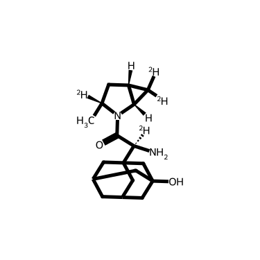 [2H]C1([2H])[C@H]2C[C@@]([2H])(C)N(C(=O)[C@@]([2H])(N)C34CC5CC(CC(O)(C5)C3)C4)[C@H]21